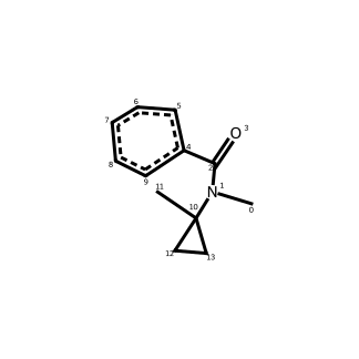 CN(C(=O)c1ccccc1)C1(C)CC1